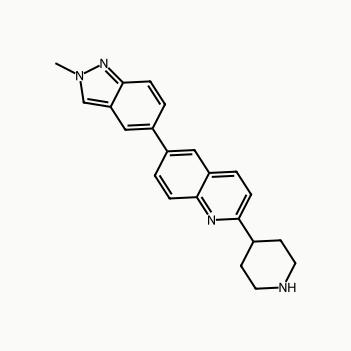 Cn1cc2cc(-c3ccc4nc(C5CCNCC5)ccc4c3)ccc2n1